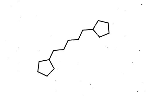 [CH](CCC1CCCC1)CCC1CCCC1